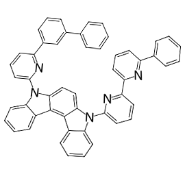 c1ccc(-c2cccc(-c3cccc(-n4c5ccccc5c5c6c7ccccc7n(-c7cccc(-c8cccc(-c9ccccc9)n8)n7)c6ccc54)n3)c2)cc1